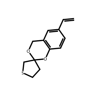 C=Cc1ccc2c(c1)COC1(CCSC1)O2